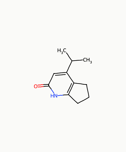 CC(C)c1cc(=O)[nH]c2c1CCC2